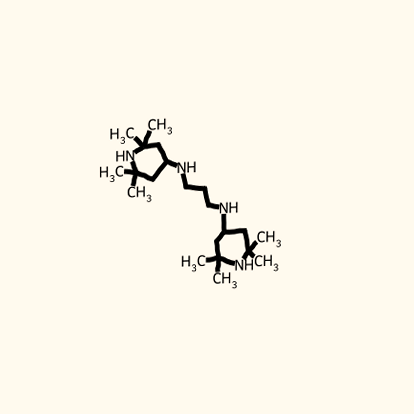 CC1(C)CC(NCCCNC2CC(C)(C)NC(C)(C)C2)CC(C)(C)N1